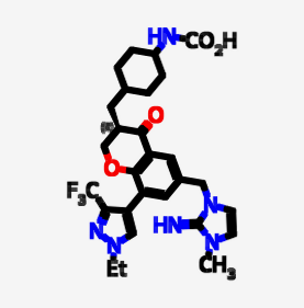 CCn1cc(-c2cc(Cn3ccn(C)c3=N)cc3c2OC[C@@H](CC2CCC(NC(=O)O)CC2)C3=O)c(C(F)(F)F)n1